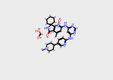 Cc1cc(Nc2cc(Nc3ccc(C4CCN(C)CC4)cn3)ncn2)[n+]([O-])c2c1C(=O)NC21CCCCC1.O=CO